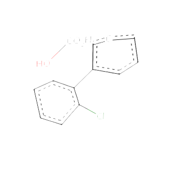 Clc1ccccc1-c1ccccc1.O=C(O)O